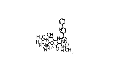 CC(=O)Nc1c(C(C)=O)c(CC[C@@H](C)N(C(=O)c2nnc[nH]2)C(C)C)nc2c(-c3ccc(-c4ccccc4)nc3)cnn12